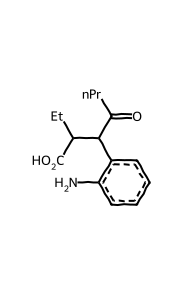 CCCC(=O)C(c1ccccc1N)C(CC)C(=O)O